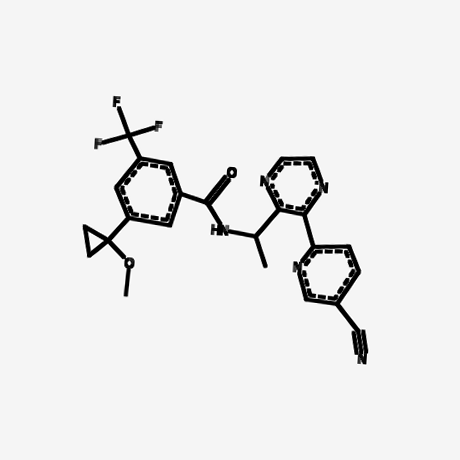 COC1(c2cc(C(=O)NC(C)c3nccnc3-c3ccc(C#N)cn3)cc(C(F)(F)F)c2)CC1